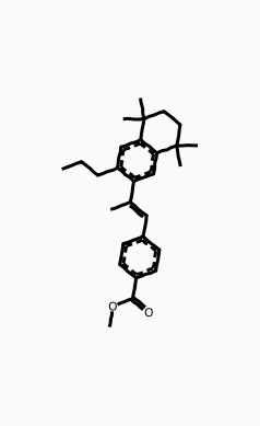 CCCc1cc2c(cc1/C(C)=C/c1ccc(C(=O)OC)cc1)C(C)(C)CCC2(C)C